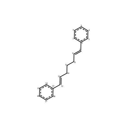 C(=C\c1ccccc1)/CCC/C=C/c1ccccc1